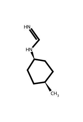 C[C@H]1CC[C@@H](NC=N)CC1